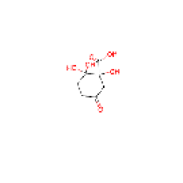 O=C1CCC(O)(O)C(O)(C(=O)O)C1